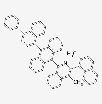 Cc1ccc2ccccc2c1-c1nc(-c2c3ccccc3c(-c3ccc(-c4ccccc4)c4ccccc34)c3ccccc23)c2ccccc2c1C